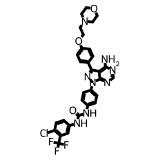 Nc1ncnc2c1c(-c1ccc(OCCN3CCOCC3)cc1)nn2-c1ccc(NC(=O)Nc2ccc(Cl)c(C(F)(F)F)c2)cc1